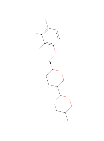 Cc1ccc(OC[C@@H]2CCC(C3OCC(C)CO3)CO2)c(Cl)c1F